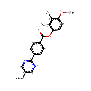 CCCCCCCOc1ccc(OC(=O)c2ccc(-c3ncc(CCCCC)cn3)cc2)c(C#N)c1C#N